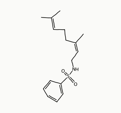 CC(C)=CCCC(C)=CCNS(=O)(=O)c1ccccc1